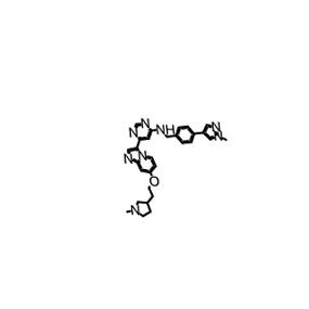 CN1CCC(CCOc2ccn3c(-c4cc(NCc5ccc(-c6cnn(C)c6)cc5)ncn4)cnc3c2)C1